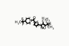 Cc1c(-c2ccc(C(=O)N3CCC(C(C)(F)F)CC3)s2)noc1C(C)(C)F